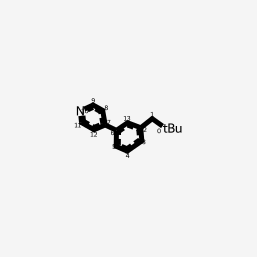 CC(C)(C)Cc1cccc(-c2ccncc2)c1